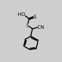 N#CC(SC(O)=S)c1ccccc1